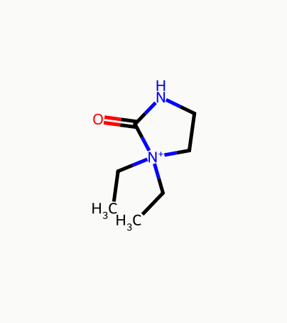 CC[N+]1(CC)CCNC1=O